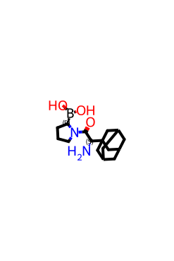 N[C@H](C(=O)N1CCC[C@H]1B(O)O)C12CC3CC(CC(C3)C1)C2